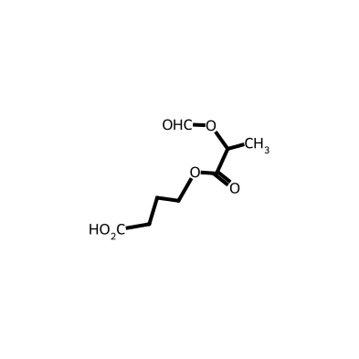 CC(OC=O)C(=O)OCCCC(=O)O